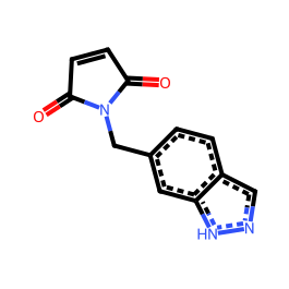 O=C1C=CC(=O)N1Cc1ccc2cn[nH]c2c1